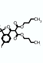 CCCCOC(=O)C(C(=O)OCCCC)C(=O)c1ccc(I)cc1C(F)(F)F